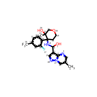 Cc1cnc2c(C(O)NC3(c4ccc(C(F)(F)F)cc4F)CCOCC3(C)O)cnn2c1